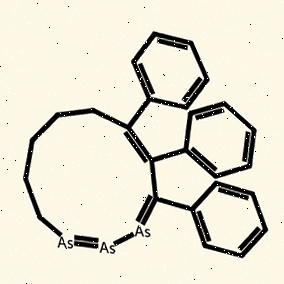 c1ccc(C2=[As][As]=[As]CCCCCC(c3ccccc3)=C2c2ccccc2)cc1